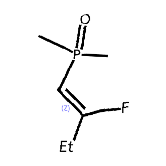 CC/C(F)=C/P(C)(C)=O